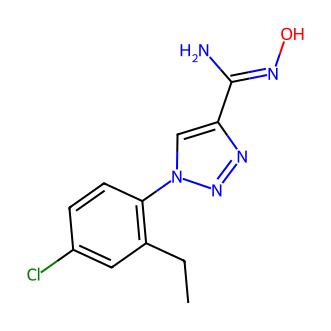 CCc1cc(Cl)ccc1-n1cc(/C(N)=N/O)nn1